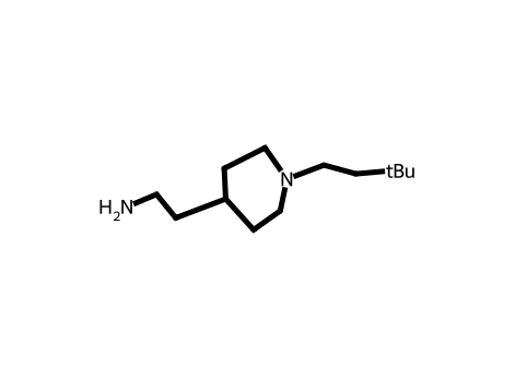 CC(C)(C)CCN1CCC(CCN)CC1